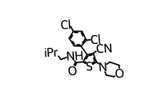 CC(C)CNC(=O)c1sc(N2CCOCC2)c(C#N)c1-c1ccc(Cl)cc1Cl